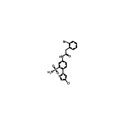 NS(=O)(=O)c1cc(NC(=O)Cc2ccccc2Br)ccc1-n1cc(Cl)cn1